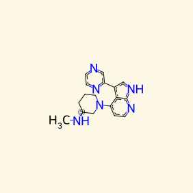 CN[C@H]1CCCN(c2ccnc3[nH]cc(-c4cnccn4)c23)C1